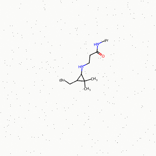 CC(C)NC(=O)CCNC1C(CC(C)(C)C)C1(C)C